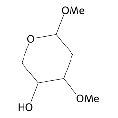 COC1CC(OC)C(O)CO1